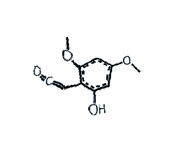 COc1cc(O)c(C=C=O)c(OC)c1